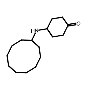 O=C1CCC(NC2CCCCCCCCC2)CC1